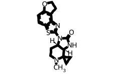 CN1CC[C@@H]2[C@@H](NC(=O)N2c2nc3c4c(ccc3s2)OCC4)C12CC2